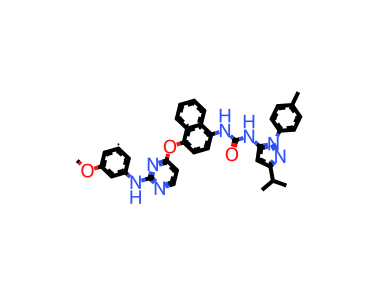 COc1c[c]cc(Nc2nccc(Oc3ccc(NC(=O)Nc4cc(C(C)C)nn4-c4ccc(C)cc4)c4ccccc34)n2)c1